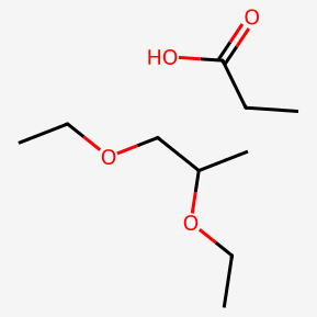 CCC(=O)O.CCOCC(C)OCC